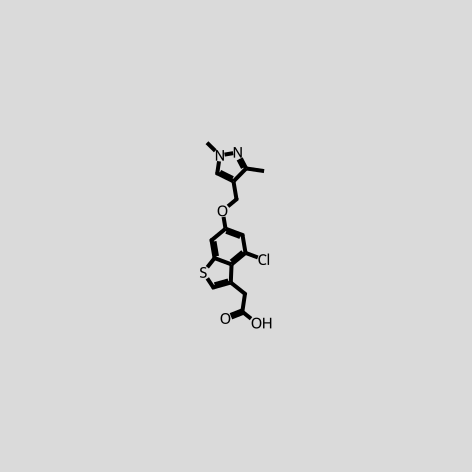 Cc1nn(C)cc1COc1cc(Cl)c2c(CC(=O)O)csc2c1